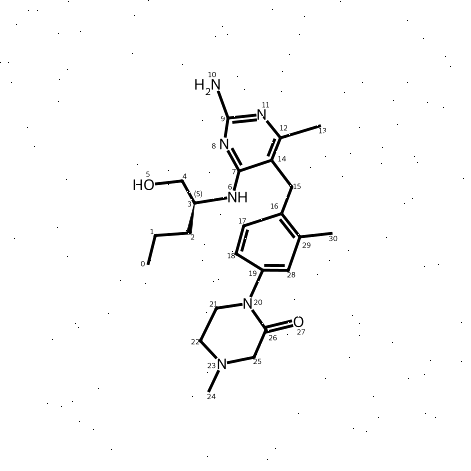 CCC[C@@H](CO)Nc1nc(N)nc(C)c1Cc1ccc(N2CCN(C)CC2=O)cc1C